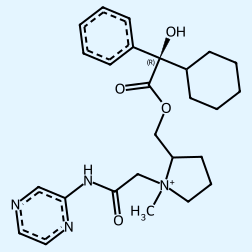 C[N+]1(CC(=O)Nc2cnccn2)CCCC1COC(=O)[C@](O)(c1ccccc1)C1CCCCC1